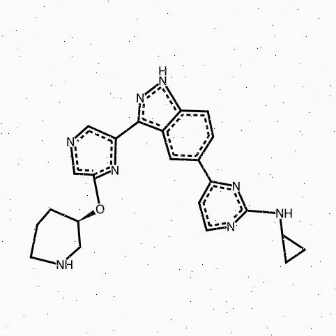 c1cc(-c2ccc3[nH]nc(-c4cncc(O[C@@H]5CCCNC5)n4)c3c2)nc(NC2CC2)n1